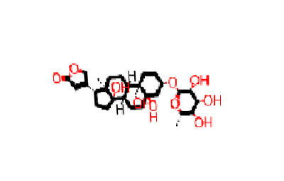 C[C@@H]1O[C@H](O[C@H]2CC[C@]3(CO)[C@H]4CC[C@]5(C)[C@@H](C6=CC(=O)OC6)CC[C@]5(O)[C@@H]4CC[C@]3(O)C2)[C@H](O)[C@H](O)[C@H]1O